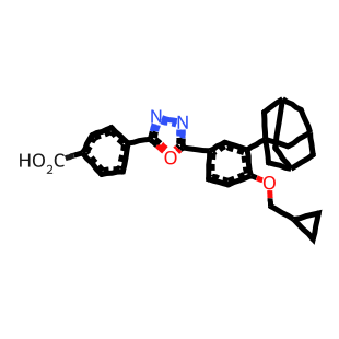 O=C(O)c1ccc(-c2nnc(-c3ccc(OCC4CC4)c(C45CC6CC(CC(C6)C4)C5)c3)o2)cc1